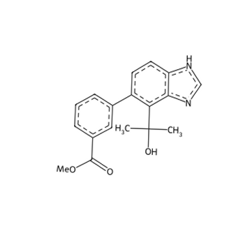 COC(=O)c1cccc(-c2ccc3[nH]cnc3c2C(C)(C)O)c1